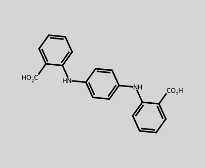 O=C(O)c1ccccc1Nc1ccc(Nc2ccccc2C(=O)O)cc1